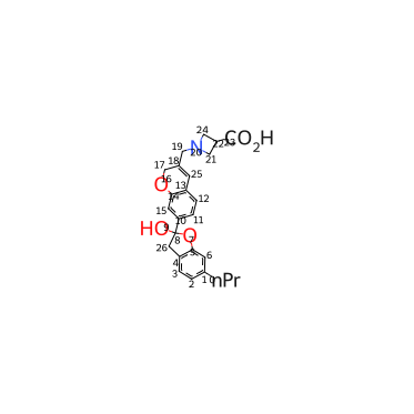 CCCc1ccc2c(c1)OC(O)(c1ccc3c(c1)OCC(CN1CC(C(=O)O)C1)=C3)C2